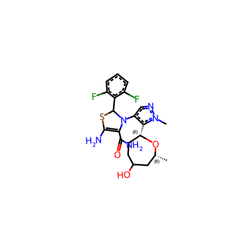 C[C@@H]1CC(O)CC[C@H](c2c(N3C(C(N)=O)=C(N)SC3c3c(F)cccc3F)cnn2C)O1